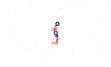 O=C(OCc1ccccc1)N1CCC2(CC1)CC(OCCO)C2